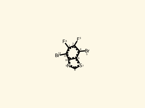 Fc1c(F)c(Br)c2scnc2c1Br